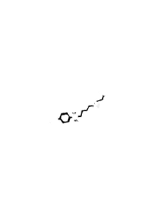 Cc1ccc(S(=O)(=O)CCCCNCCC(=O)O)cc1